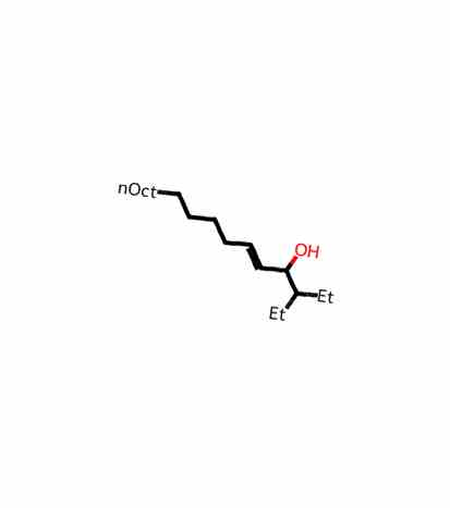 CCCCCCCCCCCC/C=C/C(O)C(CC)CC